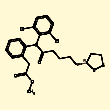 COC(=O)Cc1ccccc1N(C(=O)CCCC[C@@H]1CCSS1)c1c(Cl)cccc1Cl